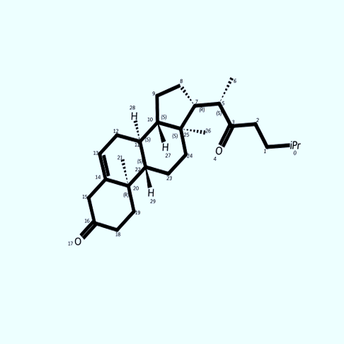 CC(C)CCC(=O)[C@@H](C)[C@H]1CC[C@H]2[C@@H]3CC=C4CC(=O)CC[C@]4(C)[C@H]3CC[C@]12C